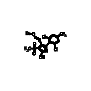 CCOC=Nc1c(S(=O)(=O)C(F)(F)F)c(C#N)nn1-c1c(Cl)cc(C(F)(F)F)cc1Cl